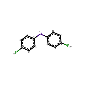 Fc1ccc([I+]c2ccc(F)cc2)cc1